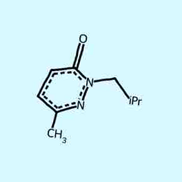 Cc1ccc(=O)n(CC(C)C)n1